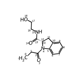 [CH2]CC(=O)N1c2ccccc2C[C@H]1C(=O)NCCO